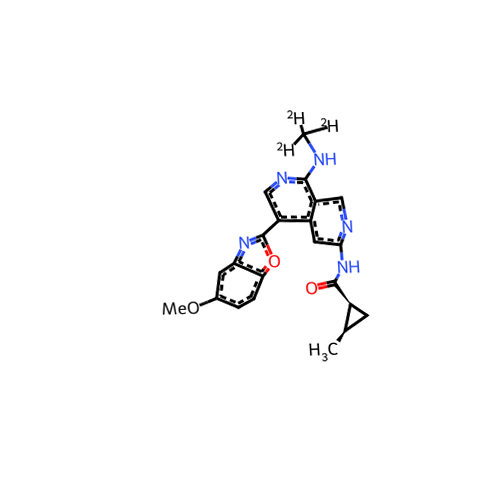 [2H]C([2H])([2H])Nc1ncc(-c2nc3cc(OC)ccc3o2)c2cc(NC(=O)[C@H]3C[C@H]3C)ncc12